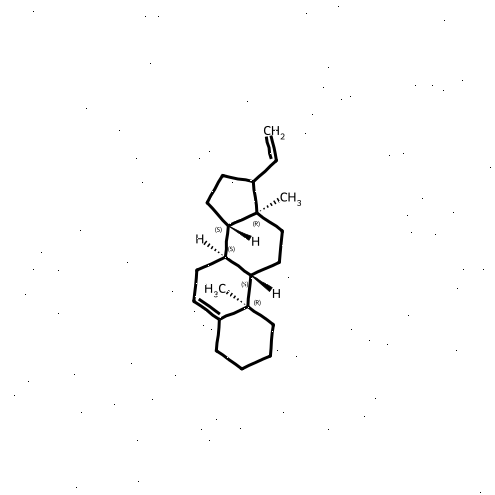 C=CC1CC[C@H]2[C@@H]3CC=C4CCCC[C@]4(C)[C@H]3CC[C@]12C